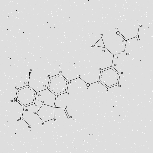 C=CC1(c2cc(COc3cccc([C@@H](CC(=O)OC)C4CC4)c3)ccc2-c2cc(OC)ncc2F)CCCC1